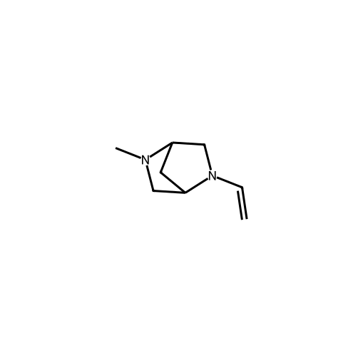 C=CN1CC2CC1CN2C